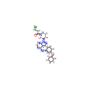 Nc1ncnc2c1c(-c1ccc(Oc3ccccc3)cc1)nn2[C@@H]1CCCN(C(=O)/C=C/Br)C1